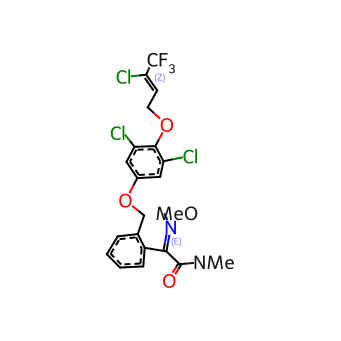 CNC(=O)/C(=N/OC)c1ccccc1COc1cc(Cl)c(OC/C=C(\Cl)C(F)(F)F)c(Cl)c1